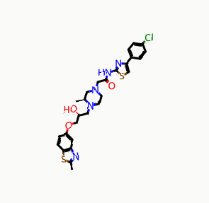 Cc1nc2cc(OC[C@H](O)CN3CCN(CC(=O)Nc4nc(-c5ccc(Cl)cc5)cs4)C[C@@H]3C)ccc2s1